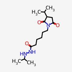 CC(C)NNC(=O)CCCCCN1C(=O)CC(C(C)C)C1=O